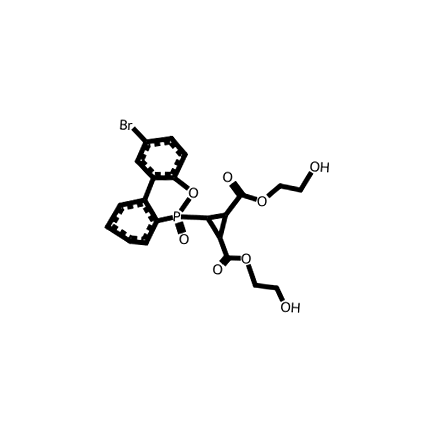 O=C(OCCO)C1C(C(=O)OCCO)C1P1(=O)Oc2ccc(Br)cc2-c2ccccc21